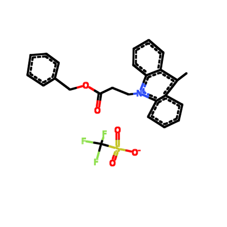 Cc1c2ccccc2[n+](CCC(=O)OCc2ccccc2)c2ccccc12.O=S(=O)([O-])C(F)(F)F